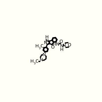 CCN1CCCN(c2ccc(-c3n[nH]c4c3C(=O)c3c(NC(=O)NN5CCOCC5)cccc3-4)c(C)c2)CC1